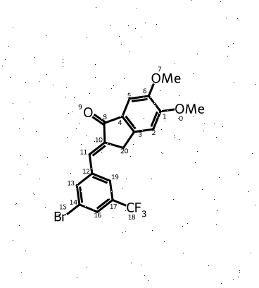 COc1cc2c(cc1OC)C(=O)C(=Cc1cc(Br)cc(C(F)(F)F)c1)C2